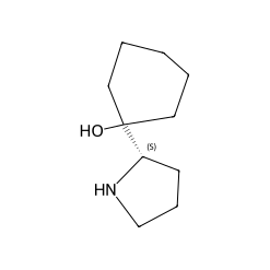 OC1([C@@H]2CCCN2)CCCCC1